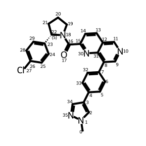 Cn1cc(-c2ccc(-c3cncc4ccc(C(=O)N5CCC[C@H]5c5ccc(Cl)cc5)nc34)cc2)cn1